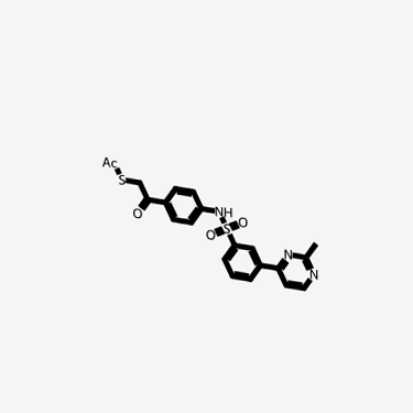 CC(=O)SCC(=O)c1ccc(NS(=O)(=O)c2cccc(-c3ccnc(C)n3)c2)cc1